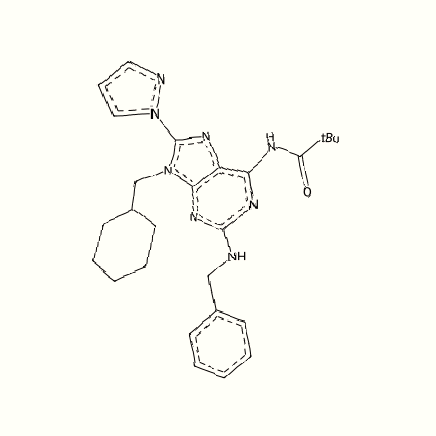 CC(C)(C)C(=O)Nc1nc(NCc2ccccc2)nc2c1nc(-n1cccn1)n2CC1CCCCC1